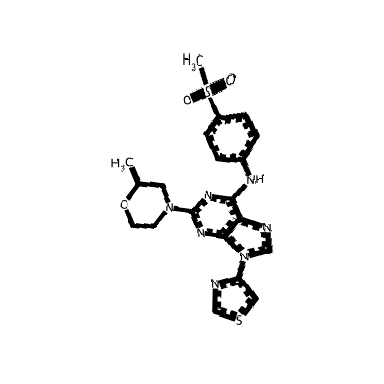 CC1CN(c2nc(Nc3ccc(S(C)(=O)=O)cc3)c3ncn(-c4cscn4)c3n2)CCO1